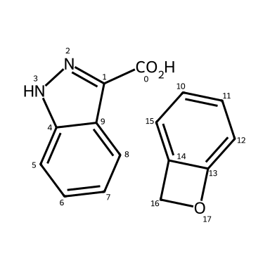 O=C(O)c1n[nH]c2ccccc12.c1ccc2c(c1)CO2